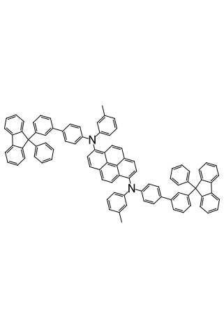 Cc1cccc(N(c2ccc(-c3cccc(C4(c5ccccc5)c5ccccc5-c5ccccc54)c3)cc2)c2ccc3ccc4c(N(c5ccc(-c6cccc(C7(c8ccccc8)c8ccccc8-c8ccccc87)c6)cc5)c5cccc(C)c5)ccc5ccc2c3c54)c1